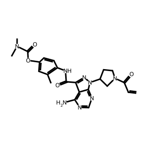 C=CC(=O)N1CCC(n2nc(C(=O)Nc3ccc(OC(=O)N(C)C)cc3C)c3c(N)ncnc32)C1